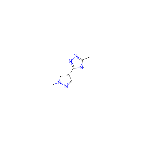 CC1=NN=C(c2cnn(C)c2)[N]1